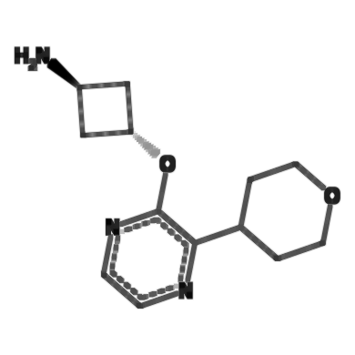 N[C@H]1C[C@H](Oc2nccnc2C2CCOCC2)C1